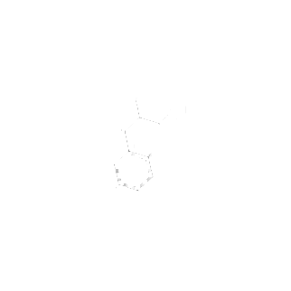 CC(CO)Cc1[c]cccc1